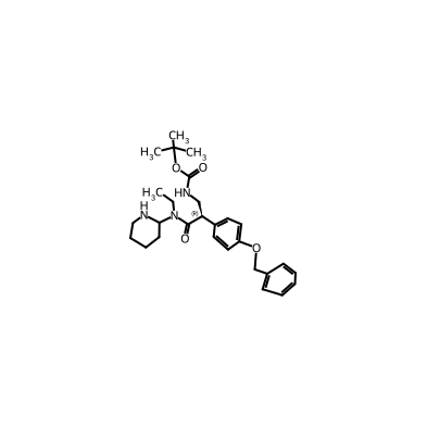 CCN(C(=O)[C@@H](CNC(=O)OC(C)(C)C)c1ccc(OCc2ccccc2)cc1)C1CCCCN1